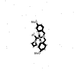 COc1ccc(CN(Cc2ccc(OC)cc2)S(=O)(=O)C(C(C)C)N2CCC2)cc1